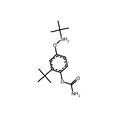 CC(C)(C)[SiH2]Oc1ccc(OC(N)=O)c(C(C)(C)C)c1